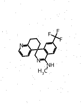 CNC1=NCC2(CCCc3ncccc32)c2cc(C(F)(F)F)ccc21